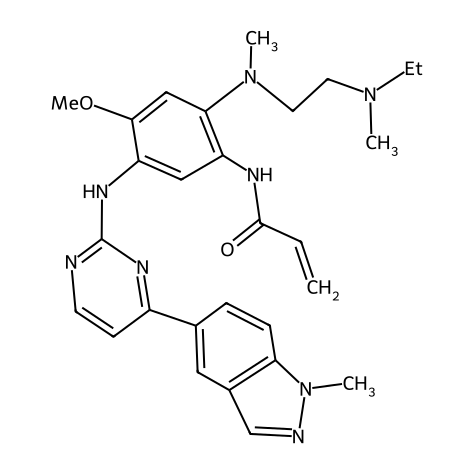 C=CC(=O)Nc1cc(Nc2nccc(-c3ccc4c(cnn4C)c3)n2)c(OC)cc1N(C)CCN(C)CC